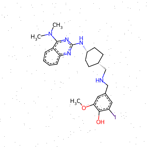 COc1cc(CNC[C@H]2CC[C@@H](Nc3nc(N(C)C)c4ccccc4n3)CC2)cc(I)c1O